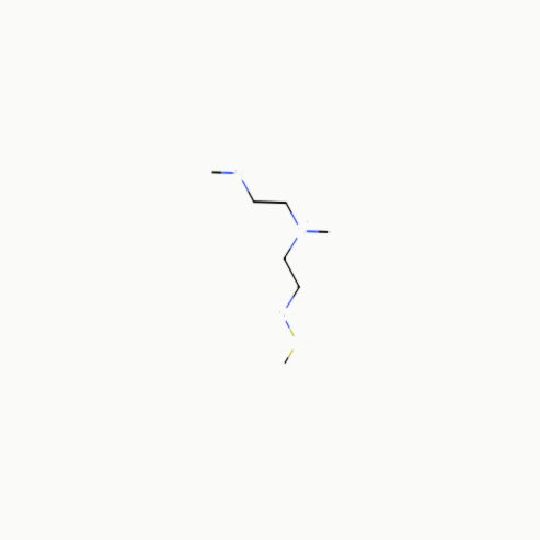 CNCCN(C)CCNSC